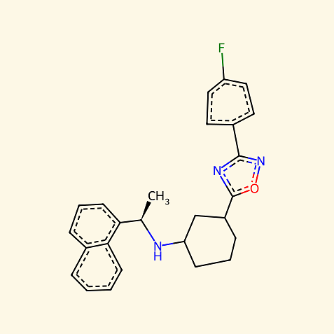 C[C@@H](NC1CCCC(c2nc(-c3ccc(F)cc3)no2)C1)c1cccc2ccccc12